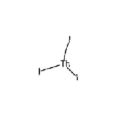 [I][Th]([I])[I]